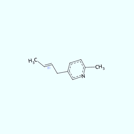 C/C=C/Cc1ccc(C)nc1